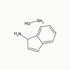 NC1C=Cc2ccccc21.O[SiH3]